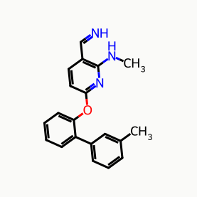 CNc1nc(Oc2ccccc2-c2cccc(C)c2)ccc1C=N